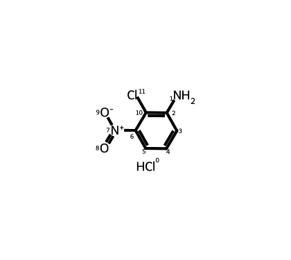 Cl.Nc1cccc([N+](=O)[O-])c1Cl